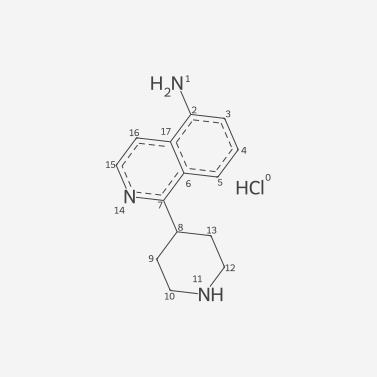 Cl.Nc1cccc2c(C3CCNCC3)nccc12